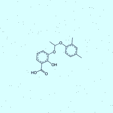 Cc1ccc(OC(C)Oc2cccc(C(=O)O)c2O)c(C)c1